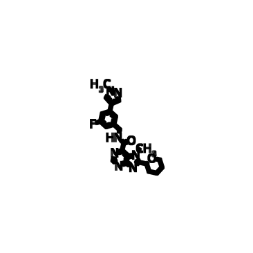 Cn1cc(-c2cc(F)cc(CNC(=O)c3ncnc4nc(C5CCCCO5)n(C)c34)c2)cn1